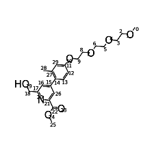 COCCOCCOCCOc1ccc(-c2cc(CO)nc(C(=O)OC)c2)c(C)c1